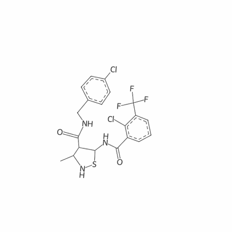 CC1NSC(NC(=O)c2cccc(C(F)(F)F)c2Cl)C1C(=O)NCc1ccc(Cl)cc1